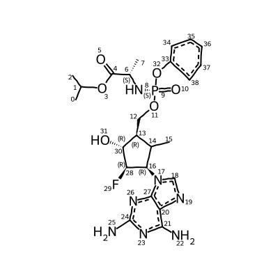 CC(C)OC(=O)[C@H](C)N[P@](=O)(OC[C@H]1C(C)[C@@H](n2cnc3c(N)nc(N)nc32)[C@@H](F)[C@@H]1O)Oc1ccccc1